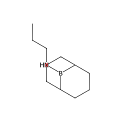 CCCNB1C2CCCC1CCC2